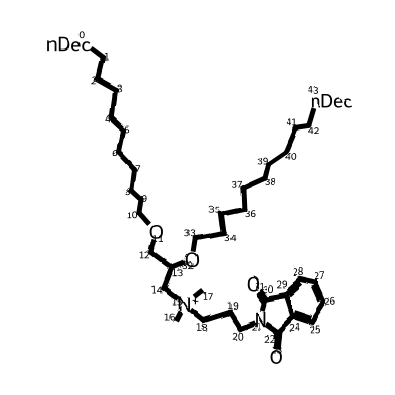 CCCCCCCCCCCCCCCCCCCCOCC(C[N+](C)(C)CCCN1C(=O)c2ccccc2C1=O)OCCCCCCCCCCCCCCCCCCCC